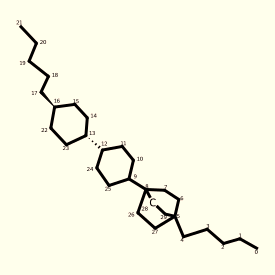 CCCCCC12CCC(C3CCC([C@H]4CC[C@H](CCCCC)CC4)CC3)(CC1)CC2